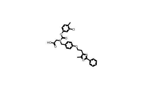 Cc1ccc(OC(=O)N(CC(=O)O)Cc2ccc(OCCc3nc(-c4ccccc4)oc3C)cc2)cc1Cl